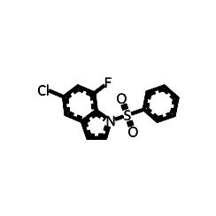 O=S(=O)(c1ccccc1)n1ccc2cc(Cl)cc(F)c21